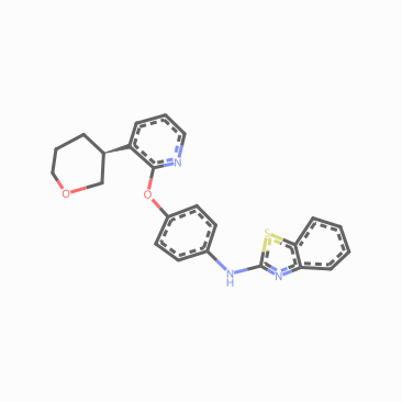 c1cnc(Oc2ccc(Nc3nc4ccccc4s3)cc2)c([C@@H]2CCCOC2)c1